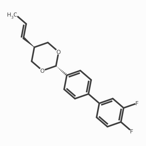 CC=C[C@H]1CO[C@H](c2ccc(-c3ccc(F)c(F)c3)cc2)OC1